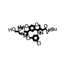 COc1cc2c(cc1-c1cnn(C[C@H](O)CO)c1)-c1c(c(C(=O)N(C)C(C)(C)C)nn1-c1cc(Cl)cc(Cl)c1)CO2